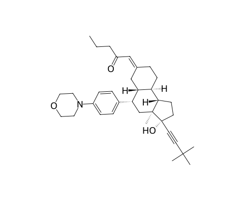 CCCC(=O)/C=C1/CC[C@@H]2[C@@H](C1)[C@@H](c1ccc(N3CCOCC3)cc1)C[C@@]1(C)[C@H]2CC[C@@]1(O)C#CC(C)(C)C